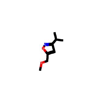 COCc1cc(C(C)C)no1